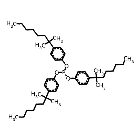 CCCCCCC(C)(C)c1ccc(OP(Oc2ccc(C(C)(C)CCCCCC)cc2)Oc2ccc(C(C)(C)CCCCCC)cc2)cc1